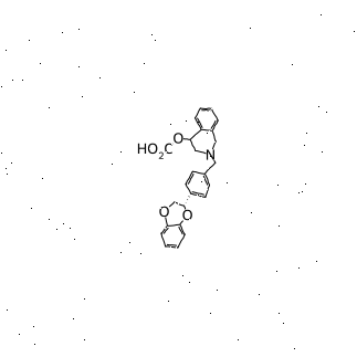 O=C(O)OC1CN(Cc2ccc([C@H]3COc4ccccc4O3)cc2)Cc2ccccc21